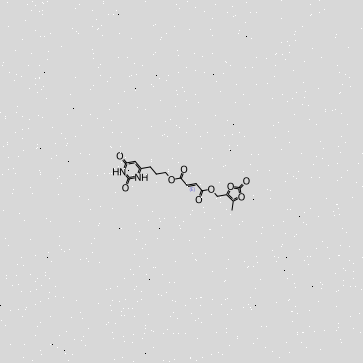 Cc1oc(=O)oc1COC(=O)/C=C/C(=O)OCCCc1cc(=O)[nH]c(=O)[nH]1